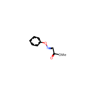 COC(=O)C=NOc1ccccc1